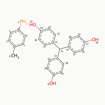 Cc1ccc(P)cc1.Oc1ccc(C(c2ccc(O)cc2)c2ccc(O)cc2)cc1